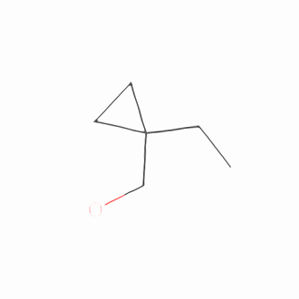 CCC1(C[O])CC1